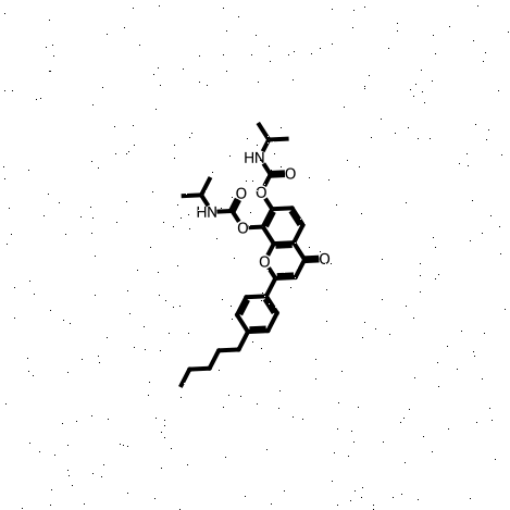 CCCCCc1ccc(-c2cc(=O)c3ccc(OC(=O)NC(C)C)c(OC(=O)NC(C)C)c3o2)cc1